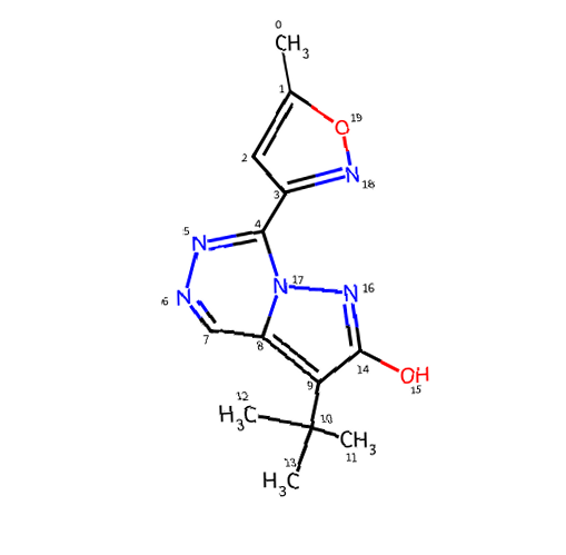 Cc1cc(-c2nncc3c(C(C)(C)C)c(O)nn23)no1